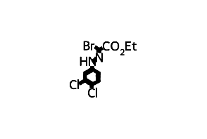 CCOC(=O)C(Br)=NNc1ccc(Cl)c(Cl)c1